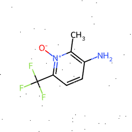 Cc1c(N)ccc(C(F)(F)F)[n+]1[O-]